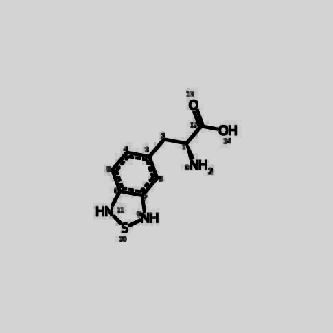 N[C@@H](Cc1ccc2c(c1)NSN2)C(=O)O